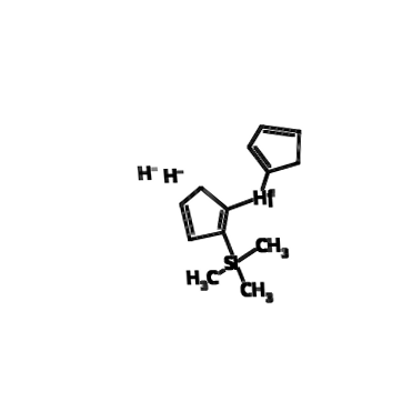 C[Si](C)(C)C1=[C]([Hf][C]2=CC=CC2)CC=C1.[H-].[H-]